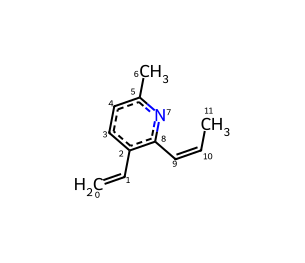 C=Cc1ccc(C)nc1/C=C\C